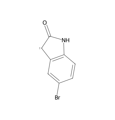 O=C1[C]c2cc(Br)ccc2N1